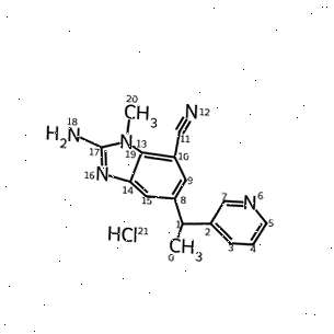 CC(c1cccnc1)c1cc(C#N)c2c(c1)nc(N)n2C.Cl